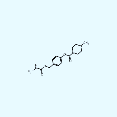 CNC(=O)OCc1ccc(OC(=O)N2CCN(C)CC2)cc1